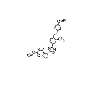 CCCOc1ccc(CCc2ccc(-c3noc([C@@H]4CCCN4/C(C)=N\C(=O)OC(C)(C)C)n3)cc2C(F)(F)F)cc1